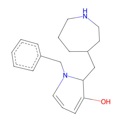 OC1=CC=CN(Cc2ccccc2)C1CC1CCCNCC1